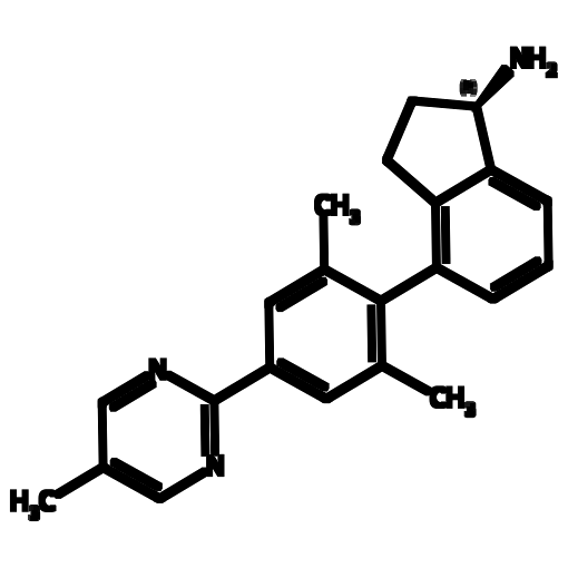 Cc1cnc(-c2cc(C)c(-c3cccc4c3CC[C@H]4N)c(C)c2)nc1